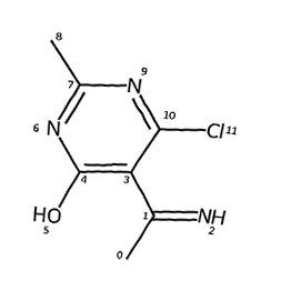 CC(=N)c1c(O)nc(C)nc1Cl